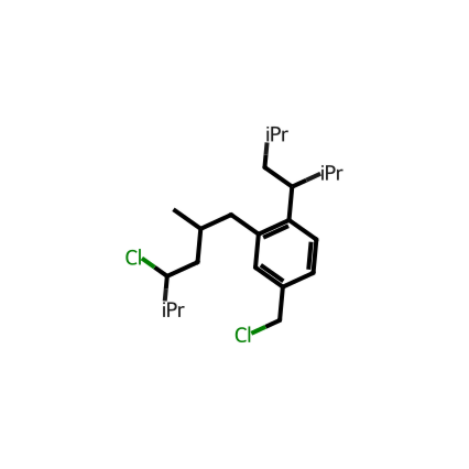 CC(C)CC(c1ccc(CCl)cc1CC(C)CC(Cl)C(C)C)C(C)C